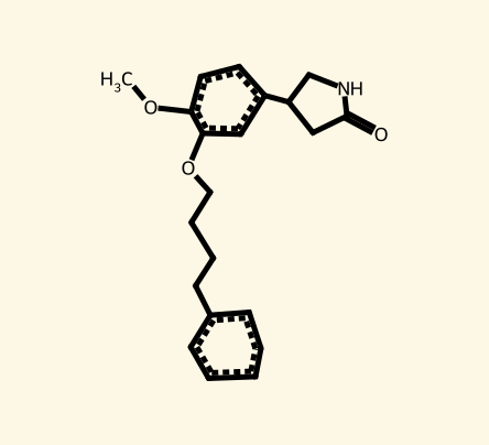 COc1ccc(C2CNC(=O)C2)cc1OCCCCc1ccccc1